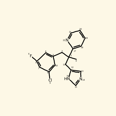 CC(Cc1cc(F)cc(Cl)c1)(Cc1cnc[nH]1)c1ccccn1